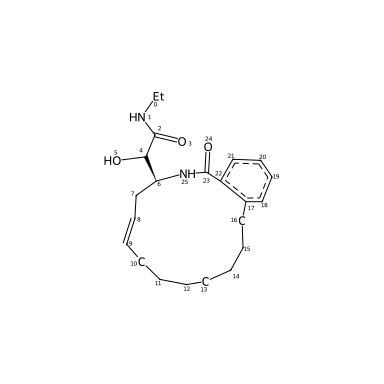 CCNC(=O)C(O)[C@@H]1C/C=C/CCCCCCCc2ccccc2C(=O)N1